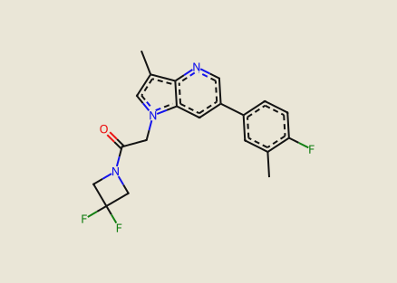 Cc1cc(-c2cnc3c(C)cn(CC(=O)N4CC(F)(F)C4)c3c2)ccc1F